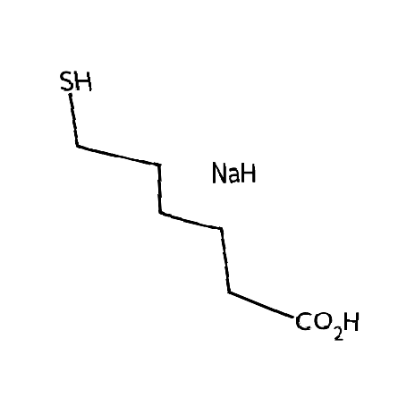 O=C(O)CCCCCS.[NaH]